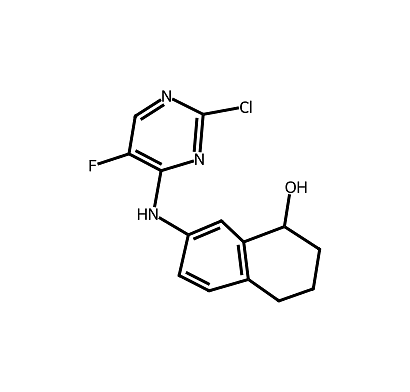 OC1CCCc2ccc(Nc3nc(Cl)ncc3F)cc21